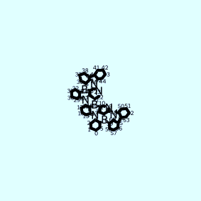 c1ccc2c(c1)B1c3c(ncc4c3N2c2cccc3c2B4c2cnc4c5c2N3c2ccccc2B5c2cccc3c5ccccc5n-4c23)-n2c3ccccc3c3cccc1c32